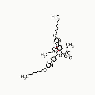 CCCCCCCCOc1cnc(-c2ccc(C(OC(c3ccc(-c4ncc(OCCCCCCCC)cn4)cc3)[C@@H]3OC(=O)O[C@H]3CCC)[C@@H]3OC(=O)O[C@H]3CCC)cc2)nc1